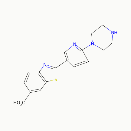 O=C(O)c1ccc2nc(-c3ccc(N4CCNCC4)nc3)sc2c1